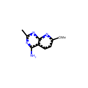 COc1ccc2c(N)nc(C)nc2n1